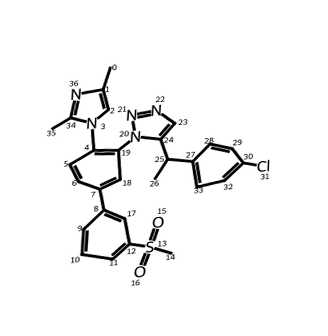 Cc1cn(-c2ccc(-c3cccc(S(C)(=O)=O)c3)cc2-n2nncc2C(C)c2ccc(Cl)cc2)c(C)n1